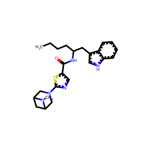 CCCCC(Cc1c[nH]c2ccccc12)NC(=O)c1cnc(N2CC3CC(C2)N3C)s1